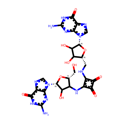 Nc1nc2c(ncn2[C@@H]2O[C@H](CNc3c(NC4C(O)[C@H](n5cnc6c(=O)[nH]c(N)nc65)O[C@@H]4CO)c(=O)c3=O)C(O)C2O)c(=O)[nH]1